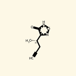 C#CC[C@H](C)c1ns[nH]c1=O